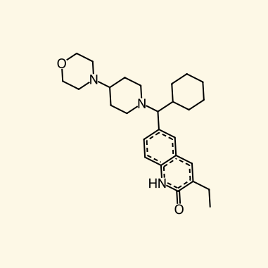 CCc1cc2cc(C(C3CCCCC3)N3CCC(N4CCOCC4)CC3)ccc2[nH]c1=O